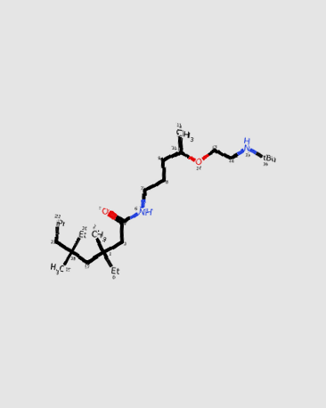 CCC(C)(CC(=O)NCCCC(C)OCCNC(C)(C)C)CC(C)(CC)CC(C)C